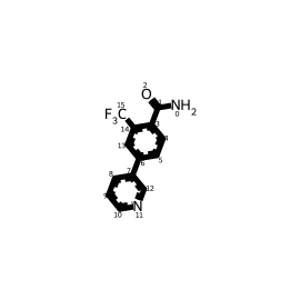 NC(=O)c1ccc(-c2cccnc2)cc1C(F)(F)F